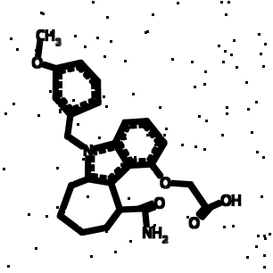 COc1cccc(Cn2c3c(c4c(OCC(=O)O)cccc42)C(C(N)=O)CCCC3)c1